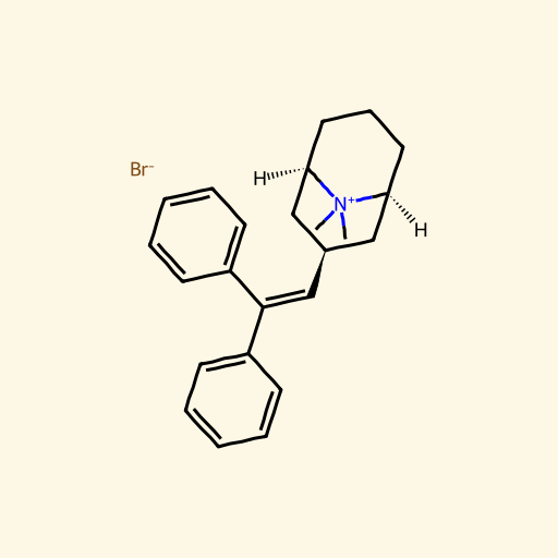 C[N+]1(C)[C@@H]2CCC[C@H]1C[C@@H](C=C(c1ccccc1)c1ccccc1)C2.[Br-]